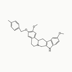 COc1ccc2[nH]c3c(c2c1)CC1c2cc(OC)c(OCc4ccc(C)cc4)cc2CCN1C3